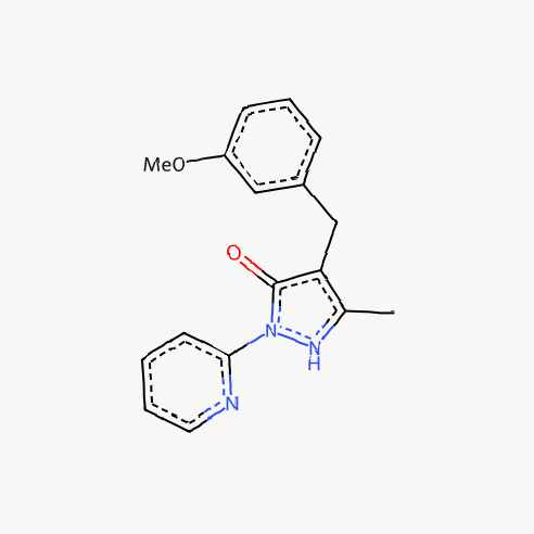 COc1cccc(Cc2c(C)[nH]n(-c3ccccn3)c2=O)c1